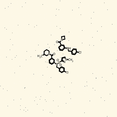 CC1CCCN(C(=O)c2cccc(N(Cc3ccc(Cl)cc3)S(=O)(=O)c3ccn(C)n3)c2)C1.O=C(c1cccc(NCc2ccc(Cl)cc2)c1)N1CCC1